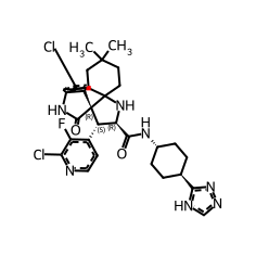 CC1(C)CCC2(CC1)N[C@@H](C(=O)N[C@H]1CC[C@H](c3nnc[nH]3)CC1)[C@H](c1ccnc(Cl)c1F)[C@]21C(=O)Nc2cc(Cl)ccc21